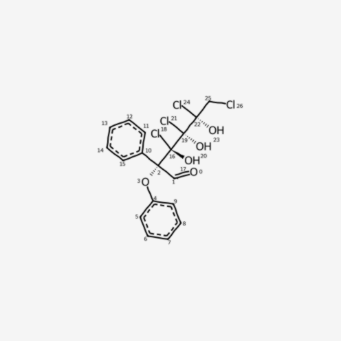 O=[C][C@@](Oc1ccccc1)(c1ccccc1)[C@](O)(Cl)[C@@](O)(Cl)[C@@](O)(Cl)CCl